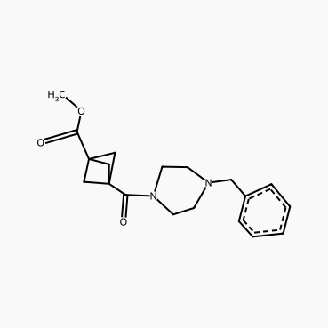 COC(=O)C12CC(C(=O)N3CCN(Cc4ccccc4)CC3)(C1)C2